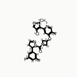 Cn1ncc(Cl)c1-c1cc(OC2CN(C(=O)N3N=CCC3c3cc(F)cc(F)c3)C2)c(F)cn1